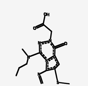 C=Nc1c(SC)cc2c(=O)n(CC(=O)O)nc(N(C)CCC)n12